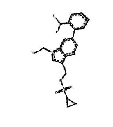 CC(C)(C)Cn1cc(CNS(=O)(=O)C2CC2)c2ccc(-c3ccccc3C(F)F)cc21